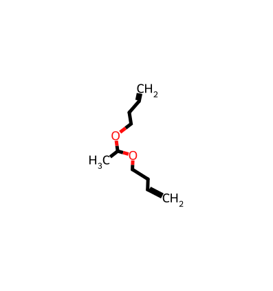 C=CCCOC(C)OCCC=C